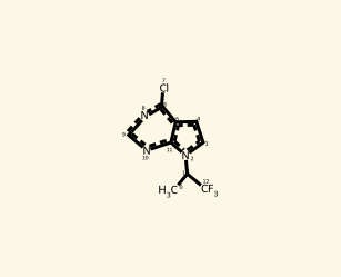 CC(n1ccc2c(Cl)ncnc21)C(F)(F)F